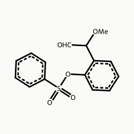 COC(C=O)c1ccccc1OS(=O)(=O)c1ccccc1